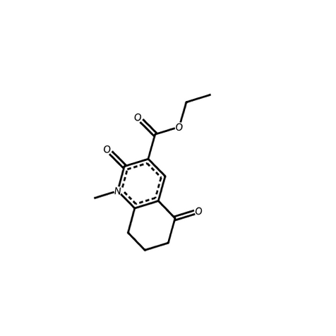 CCOC(=O)c1cc2c(n(C)c1=O)CCCC2=O